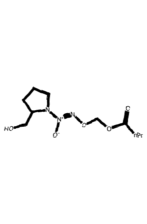 CCCC(=O)OCO/N=[N+](\[O-])N1CCCC1CO